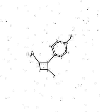 [CH2]C1CC(N)C1c1ccc(Cl)cc1